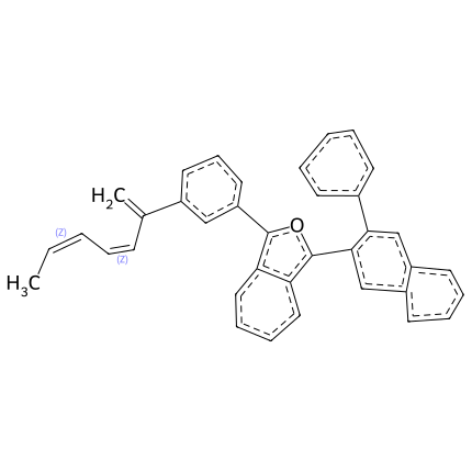 C=C(/C=C\C=C/C)c1cccc(-c2oc(-c3cc4ccccc4cc3-c3ccccc3)c3ccccc23)c1